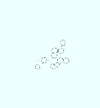 CC1(C)c2ccccc2-c2cc(N(c3ccc4ccccc4c3)c3cccc4oc5c6ccccc6c(-c6ccc7c(c6)oc6ccccc67)cc5c34)ccc21